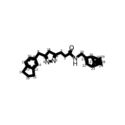 O=C(CCC1=NN=C(Cc2ccc3c(c2)CCC3)C1)NCC1=CC2CCC1C21CC1